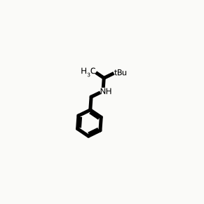 CC(NCc1ccccc1)C(C)(C)C